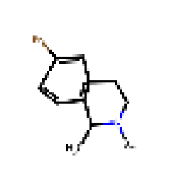 CC(=O)N1CCc2cc(Br)ccc2C1C